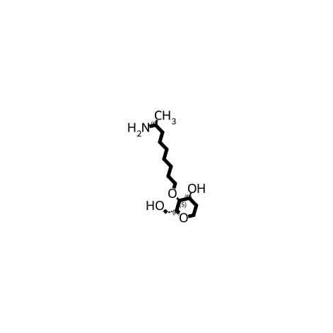 C[C@H](N)CCCCCCCO[C@H]1[C@H](O)CCO[C@@H]1CO